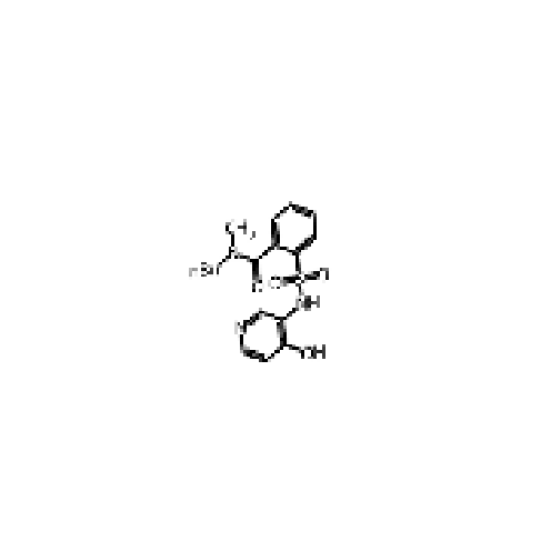 CCCCN(C)C(=O)c1ccccc1S(=O)(=O)Nc1cnccc1O